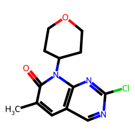 Cc1cc2cnc(Cl)nc2n(C2CCOCC2)c1=O